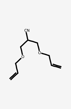 C=CCOCC(C#N)COCC=C